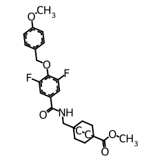 COC(=O)C12CCC(CNC(=O)c3cc(F)c(OCc4ccc(OC)cc4)c(F)c3)(CC1)CC2